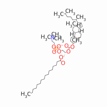 CCCCCCCCCCCCCCCC(=O)OC[C@H](COP(=O)([O-])OCC[N+](C)(C)C)OC(=O)O[C@H]1CC[C@@]2(C)C(=CC[C@H]3[C@@H]4CC[C@H]([C@H](C)CCCC(C)C)[C@@]4(C)CC[C@@H]32)C1